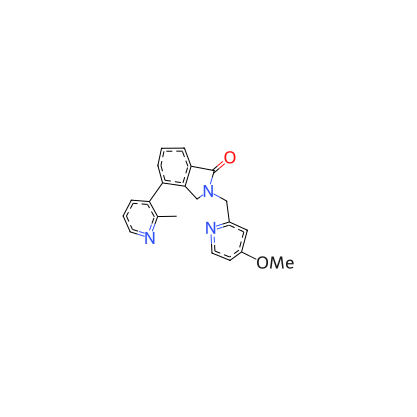 COc1ccnc(CN2Cc3c(cccc3-c3cccnc3C)C2=O)c1